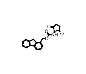 O=C(NN1C(=O)CCC1=O)OCc1cccc2c1Cc1ccccc1-2